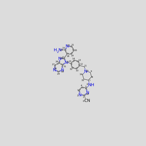 N#Cc1nccc(NC2CCN(Cc3ccc(-n4c(-c5cccnc5N)nc5cncnc54)cc3)CC2)n1